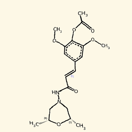 COc1cc(/C=C/C(=O)NN2C[C@@H](C)O[C@@H](C)C2)cc(OC)c1OC(C)=O